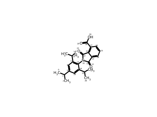 CC(C)c1cc(C(C)C)c(N2C(=O)c3cccc(C(=O)O)c3C2=O)c(C(C)C)c1